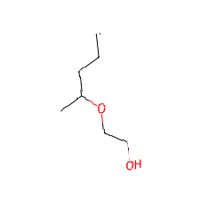 [CH2]CCC(C)OCCO